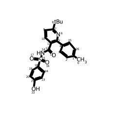 Cc1ccc(-c2nc(C(C)(C)C)ccc2C(=O)NS(=O)(=O)c2ccc(O)cc2)cc1